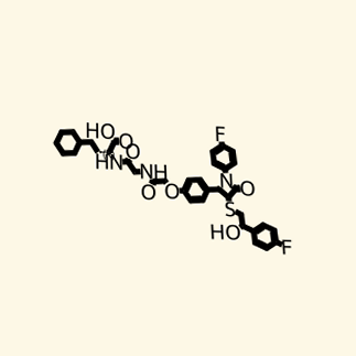 O=C(COc1ccc(C2C(SCC(O)c3ccc(F)cc3)C(=O)N2c2ccc(F)cc2)cc1)NCC(=O)N[C@H](CCC1CCCCC1)C(=O)O